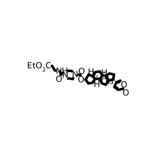 CCOC(=O)CCNC(=O)N1CCN(C(=O)O[C@H]2CC[C@@]3(C)[C@H](CC[C@@H]4[C@@H]3CC[C@]3(C)[C@@H](c5ccc(=O)oc5)CC[C@]43O)C2)CC1